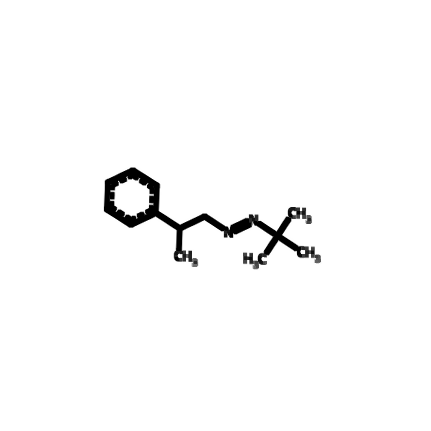 CC(CN=NC(C)(C)C)c1ccccc1